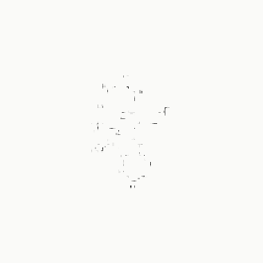 CCCCC(C)(C(=O)c1ccccc1)C1CCCCC1